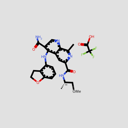 COC[C@H](C)NC(=O)c1cc2c(Nc3cccc4c3CCO4)c(C(N)=O)cnc2c(C)n1.O=C(O)C(F)(F)F